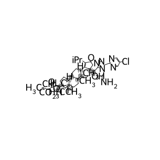 CC(C)C1=C2[C@H]3CC[C@@H]4[C@@]5(C)CC[C@H](OC(=O)CC(C)(C)C(=O)O)C(C)(C)[C@@H]5CC[C@@]4(C)[C@]3(C)CC[C@@]2([C@H](O)c2nnc(-c3ncc(Cl)cn3)n2CCN)CC1=O